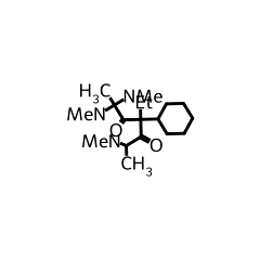 CCC(C(=O)C(C)NC)(C(=O)C(C)(NC)NC)C1CCCCC1